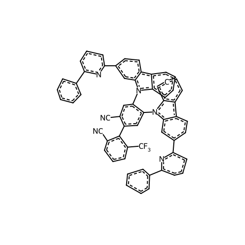 N#Cc1cc(-n2c3ccccc3c3ccc(-c4cccc(-c5ccccc5)n4)cc32)c(-n2c3ccccc3c3ccc(-c4cccc(-c5ccccc5)n4)cc32)cc1-c1c(C#N)cccc1C(F)(F)F